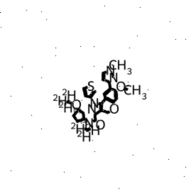 [2H]C([2H])([2H])O[C@@H]1CC[C@H](N(C(=O)c2nn(-c3ccsc3)c3c2COc2cc(OC)c(-c4ccn(C)n4)cc2-3)C([2H])([2H])[2H])C1